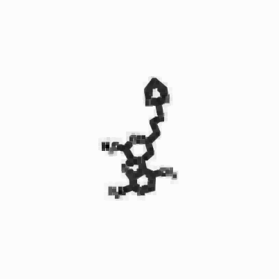 COC(C)c1nc2c(N)ncc(C)c2n1CCCCSc1ncccn1